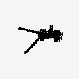 CCCCCCCCCCCCC/C=C/[C@@H](O)[C@H](CO[C@@H]1OC(CO)[C@@H](O[C@@H]2OC(CO)[C@H](O)[C@H](O)C2O)[C@H](O)C1O)NC(=O)CCCCCCCCCCCCCCC